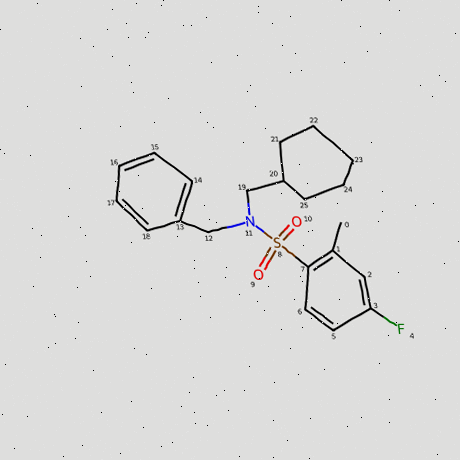 Cc1cc(F)ccc1S(=O)(=O)N(Cc1ccccc1)CC1CC[CH]CC1